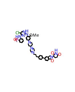 COc1cc(N2CCC(N3CCN(CCCc4ccc(-c5ccc6c(c5)CN(C5CCC(=O)NC5=O)C6=O)cc4)CC3)CC2)ccc1Nc1ncc(Cl)c(Nc2ccccc2P(C)(C)=O)n1